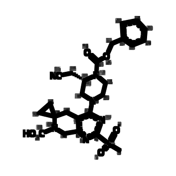 CS(=O)(=O)c1nc2c(c(N3CCN(C(=O)OCc4ccccc4)[C@@H](CC#N)C3)n1)CC1(CC1)N(C(=O)O)C2